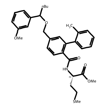 CCCCC(OCc1ccc(C(=O)N[C@@H](CCSC)C(=O)OC)c(-c2ccccc2C)c1)c1cccc(OC)c1